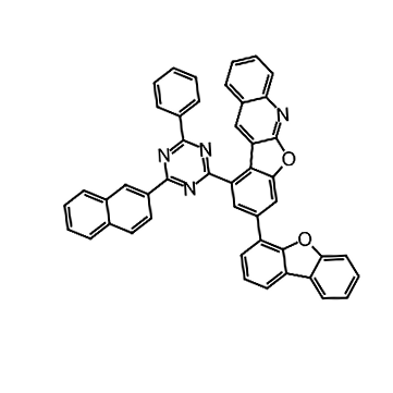 c1ccc(-c2nc(-c3ccc4ccccc4c3)nc(-c3cc(-c4cccc5c4oc4ccccc45)cc4oc5nc6ccccc6cc5c34)n2)cc1